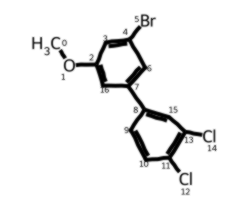 COc1cc(Br)cc(-c2ccc(Cl)c(Cl)c2)c1